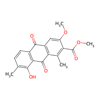 COC(=O)c1c(OC)cc2c(c1C)C(=O)c1c(ccc(C)c1O)C2=O